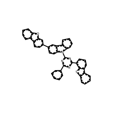 c1ccc(-c2nc(-c3cccc4c3sc3ccccc34)nc(-n3c4ccccc4c4cc(-c5ccc6c(c5)oc5ccccc56)ccc43)n2)cc1